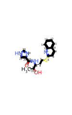 C[C@H](O)[C@@H](CCSc1ccc2ccccc2n1)NC(=O)c1c[nH]cn1